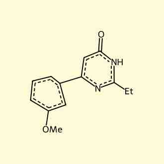 CCc1nc(-c2cccc(OC)c2)cc(=O)[nH]1